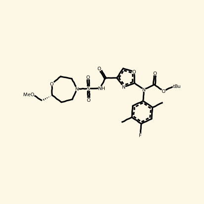 COC[C@H]1CCN(S(=O)(=O)NC(=O)c2coc(N(C(=O)OC(C)(C)C)c3cc(C)c(F)cc3C)n2)CCO1